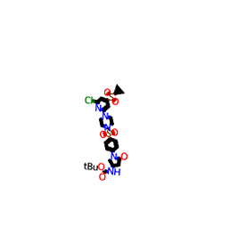 CC(C)(C)OC(=O)NC1CC(=O)N(c2ccc(S(=O)(=O)N3CCN(c4cc(S(=O)(=O)C5CC5)cc(Cl)n4)CC3)cc2)C1